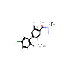 COc1ccc(Cl)cc1-c1ccc(C(=O)NC(C)(C)C)c(C)c1